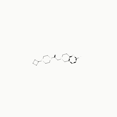 CC(=O)c1ccc2c(n1)CCN(CC(=O)N1CCN(C3CCC3)CC1)C2